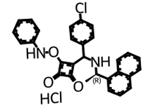 C[C@@H](NC(c1ccc(Cl)cc1)c1c(ONc2ccccc2)c(=O)c1=O)c1cccc2ccccc12.Cl